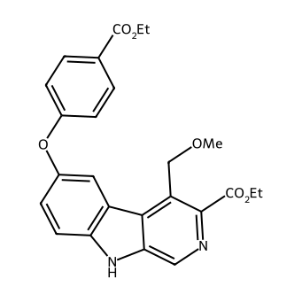 CCOC(=O)c1ccc(Oc2ccc3[nH]c4cnc(C(=O)OCC)c(COC)c4c3c2)cc1